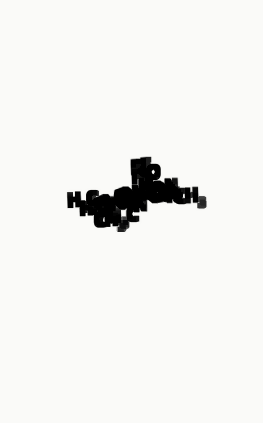 Cc1nc(-c2cc3cn(C)nc3cc2OC(=O)C(F)(F)F)nc2ccc(N3C[C@@H](C)N[C@@H](C)C3)cc12